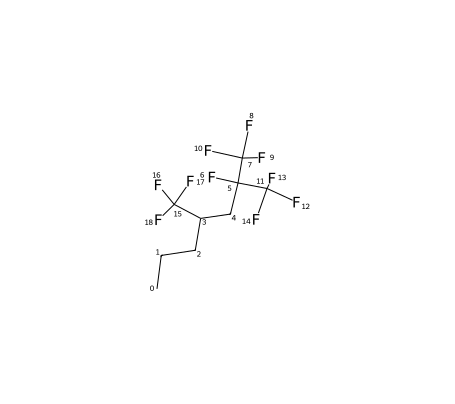 CCCC(CC(F)(C(F)(F)F)C(F)(F)F)C(F)(F)F